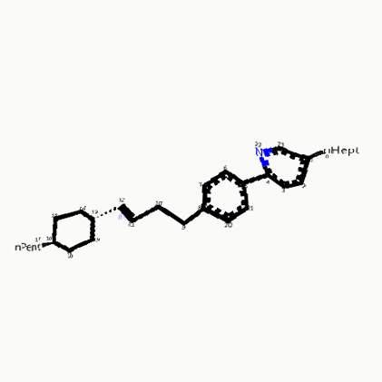 CCCCCCCc1ccc(-c2ccc(CC/C=C/[C@H]3CC[C@H](CCCCC)CC3)cc2)nc1